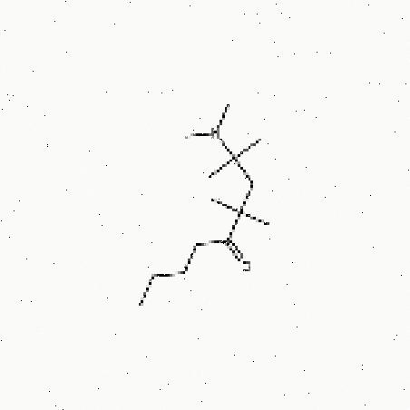 CCCCC(=O)C(C)(C)CC(C)(C)N(C)C